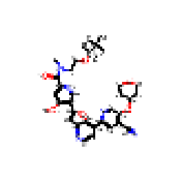 COc1cc(C(=O)N(C)CCO[Si](C)(C)C(C)(C)C)ncc1-c1cc2nccc(-c3cc(C#N)c(OC4CCOCC4)cn3)c2o1